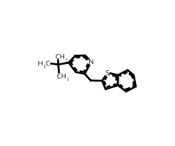 CC(C)(C)c1ccnc(Cc2cc3ccccc3s2)c1